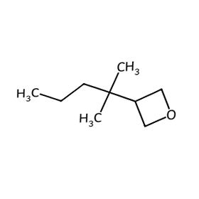 CCCC(C)(C)C1COC1